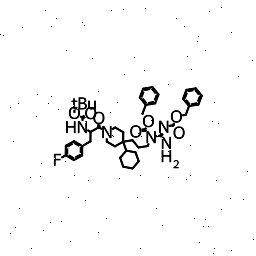 CC(C)(C)OC(=O)NC(Cc1ccc(F)cc1)C(=O)N1CCC(CCCN(C(=O)OCc2ccccc2)/C(N)=N/C(=O)OCc2ccccc2)(C2CCCCC2)CC1